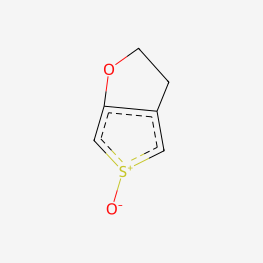 [O-][s+]1cc2c(c1)OCC2